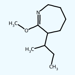 CCC(C)C1CCCCN=C1OC